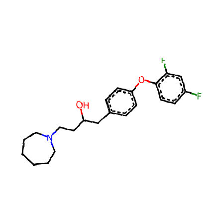 OC(CCN1CCCCCC1)Cc1ccc(Oc2ccc(F)cc2F)cc1